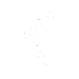 CS(=O)(=O)Nc1ccc(CC(=O)N2Cc3n[nH]c(NC(=O)c4ccc(Oc5ccccc5)cc4)c3C2)cc1